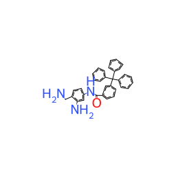 NCc1ccc(NC(=O)c2cccc(C(c3ccccc3)(c3ccccc3)c3ccccc3)c2)cc1N